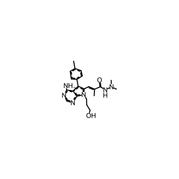 C/C(=C\c1c(-c2ccc(C)cc2)c2c(N)ncnc2n1CCCO)C(=O)NN(C)C